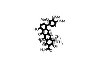 COc1ccc(-c2ccc(O)c3c2C[C@H]2C[C@H]4C(N(C)C)C(O)=C(C(N)=O)C(=O)[C@@]4(O)C(O)=C2C3=O)c(OC)c1OC